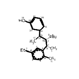 CCCC[C@H]([C@H](C)c1cc(CC)ccc1C)[C@@H](C)C1C=CC=C(O)C1